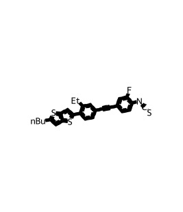 CCCCc1cc2sc(-c3ccc(C#Cc4ccc(N=C=S)c(F)c4)cc3CC)cc2s1